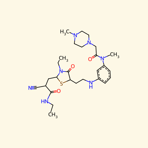 CCNC(=O)C(C#N)CC1SC(CCNc2cccc(N(C)C(=O)CN3CCN(C)CC3)c2)C(=O)N1CC